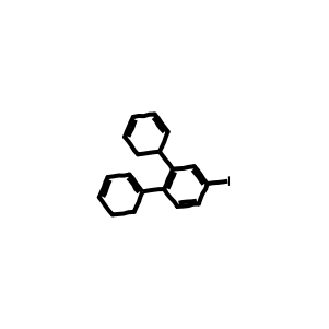 Ic1ccc(C2=CC=CCC2)c(C2C=CC=CC2)c1